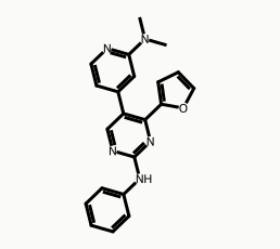 CN(C)c1cc(-c2cnc(Nc3ccccc3)nc2-c2ccco2)ccn1